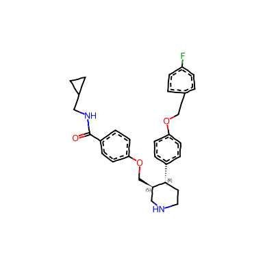 O=C(NCC1CC1)c1ccc(OC[C@@H]2CNCC[C@H]2c2ccc(OCc3ccc(F)cc3)cc2)cc1